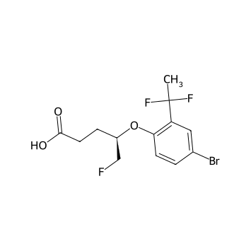 CC(F)(F)c1cc(Br)ccc1O[C@@H](CF)CCC(=O)O